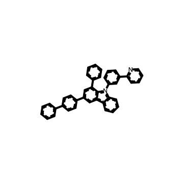 c1ccc(-c2ccc(-c3cc(-c4ccccc4)c4c(c3)c3ccccc3n4-c3cccc(-c4ccccn4)c3)cc2)cc1